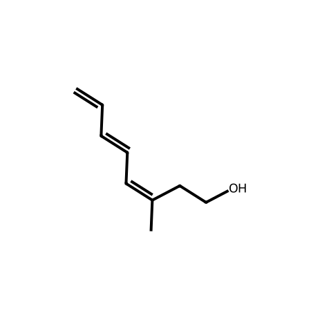 C=CC=CC=C(C)CCO